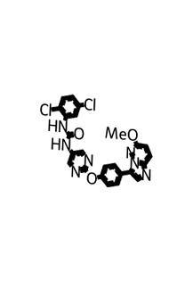 COc1ccc2ncc(-c3ccc(Oc4ncc(NC(=O)Nc5cc(Cl)ccc5Cl)cn4)cc3)n2n1